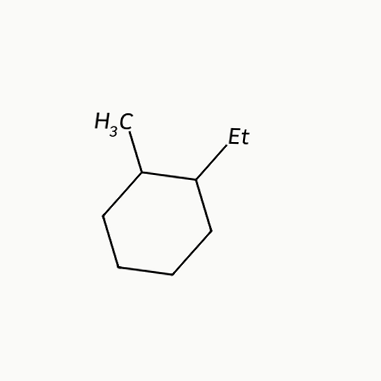 CCC1CCCCC1C